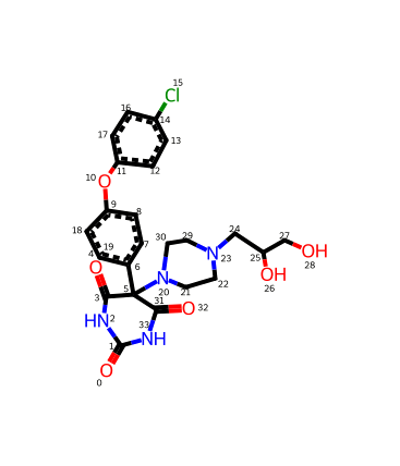 O=C1NC(=O)C(c2ccc(Oc3ccc(Cl)cc3)cc2)(N2CCN(CC(O)CO)CC2)C(=O)N1